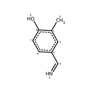 Cc1cc(C=N)ccc1O